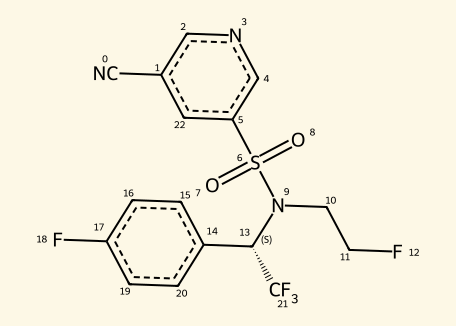 N#Cc1cncc(S(=O)(=O)N(CCF)[C@@H](c2ccc(F)cc2)C(F)(F)F)c1